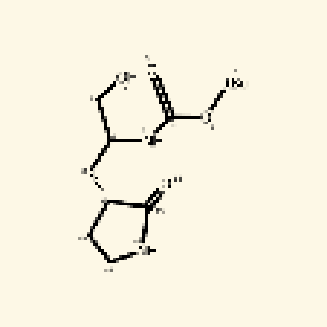 CC(C)(C)OC(=O)NC(CO)C[C@H]1CCNC1=O